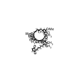 COc1cc2cc(c1Cl)N(C)C(=O)C[C@H](OC(=O)[C@H](C)N(C)C(=O)CCCCCN1C(=O)C=CC1=O)[C@]1(C)O[C@H]1C(C)[C@@H]1C[C@@](O)(NC(=O)O1)[C@H](OC)/C=C/C=C(\C)C2